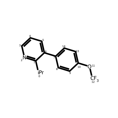 CC(C)c1ncccc1-c1ccc(OC(F)(F)F)cc1